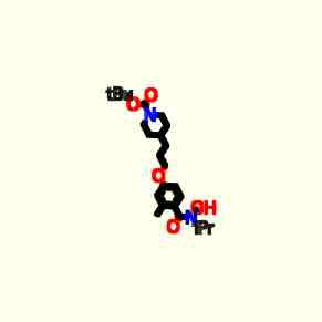 Cc1cc(OCCCC2CCN(C(=O)OC(C)(C)C)CC2)ccc1C(=O)N(O)C(C)C